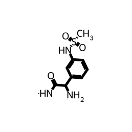 CS(=O)(=O)Nc1cccc(C(N)C([NH])=O)c1